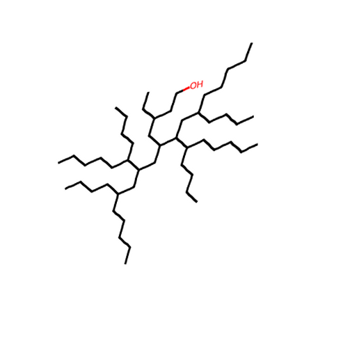 CCCCCC(CCCC)CC(CC(CC(CC)CCO)C(CC(CCCC)CCCCC)C(CCCC)CCCCC)C(CCCC)CCCCC